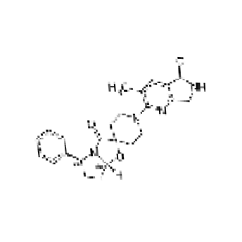 Cc1cc2c(nc1N1CCC3(CC1)O[C@@H]1CC[C@@H](c4ccccc4)N1C3=O)CNC2=O